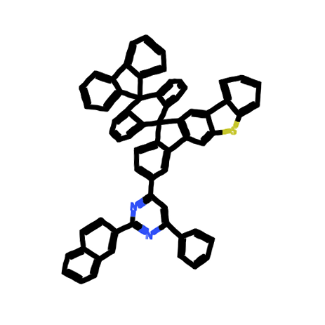 c1ccc(-c2cc(-c3ccc4c(c3)-c3cc5sc6ccccc6c5cc3C43c4ccccc4C4(c5ccccc5-c5ccccc54)c4ccccc43)nc(-c3ccc4ccccc4c3)n2)cc1